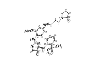 COc1cc(NCCCN2CCCC2=O)ccc1Nc1ncc(Cl)c(Nc2ccccc2P(C)(C)=O)n1